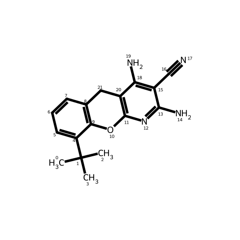 CC(C)(C)c1cccc2c1Oc1nc(N)c(C#N)c(N)c1C2